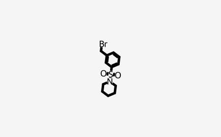 O=S(=O)(c1cccc(CBr)c1)N1CCCCC1